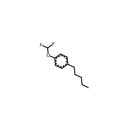 CCCCCc1ccc(OC(F)F)cc1